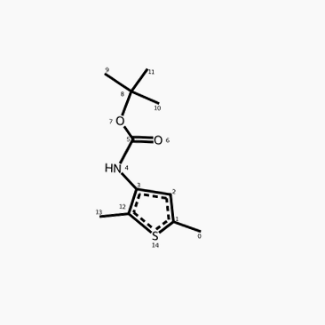 Cc1cc(NC(=O)OC(C)(C)C)c(C)s1